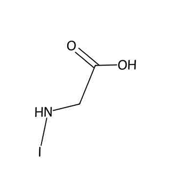 O=C(O)CNI